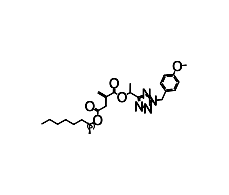 C=C(CC(=O)O[C@@H](C)CCCCCC)C(=O)OC(C)c1nnn(Cc2ccc(OC)cc2)n1